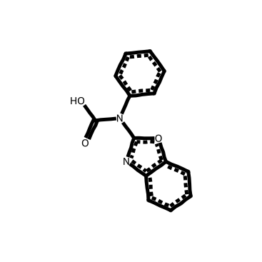 O=C(O)N(c1ccccc1)c1nc2ccccc2o1